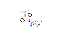 CC(=O)OC(=O)c1c(F)cccc1F.O=C(O)C[C@H](NC(=O)OCc1ccccc1)C(=O)O